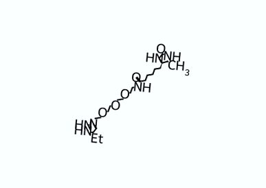 CCC1CN(CCOCCOCCOCCNC(=O)CCCCC[C@H]2NC(=O)N[C@H]2C)NN1